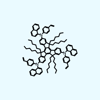 C=Cc1ccc(N(c2ccc3c(c2)C(CCCCCC)(CCCCCC)c2c-3c3c(c4c2-c2ccc(N(c5ccc(C=C)cc5)c5cccc6ccccc56)cc2C4(CCCCCC)CCCCCC)-c2ccc(N(c4ccc(C=C)cc4)c4cccc5ccccc45)cc2C3(CCCCCC)CCCCCC)c2cccc3ccccc23)cc1